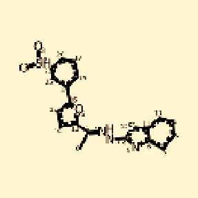 C/C(=N\Nc1nc2ccccc2s1)c1ccc(-c2cccc([SH](=O)=O)c2)o1